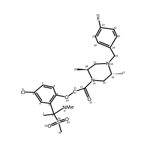 CNC(C)(c1cc(Cl)ccc1OCC(=O)N1C[C@@H](C)N(Cc2ccc(F)cc2)C[C@@H]1C)S(C)(=O)=O